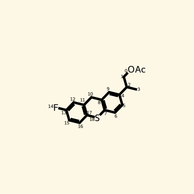 CC(=O)OCC(C)c1ccc2c(c1)Cc1cc(F)ccc1S2